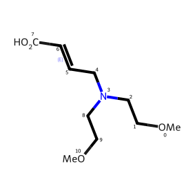 COCCN(C/C=C/C(=O)O)CCOC